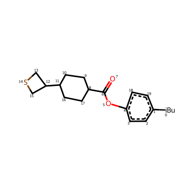 CCC(C)c1ccc(OC(=O)C2CCC(C3CSC3)CC2)cc1